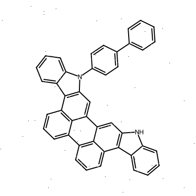 c1ccc(-c2ccc(-n3c4ccccc4c4c5cccc6c7cccc8c9c(cc(c(cc43)c65)c78)[nH]c3ccccc39)cc2)cc1